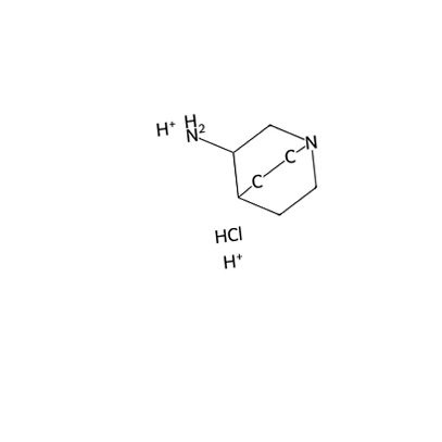 Cl.NC1CN2CCC1CC2.[H+].[H+]